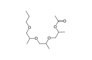 CCCOCC(C)OCC(C)OCC(C)OC(C)=O